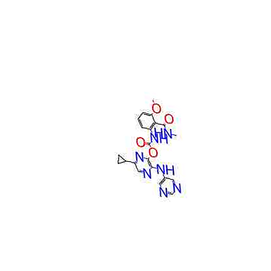 CNC(=O)c1c(NC(=O)Oc2nc(C3CC3)cnc2Nc2cncnc2)cccc1OC